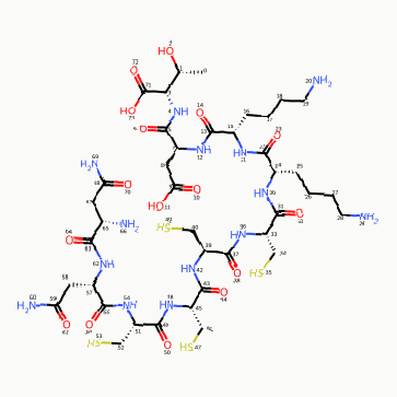 C[C@@H](O)[C@H](NC(=O)[C@H](CC(=O)O)NC(=O)[C@H](CCCCN)NC(=O)[C@H](CCCCN)NC(=O)[C@H](CS)NC(=O)[C@H](CS)NC(=O)[C@H](CS)NC(=O)[C@H](CS)NC(=O)[C@H](CC(N)=O)NC(=O)[C@@H](N)CC(N)=O)C(=O)O